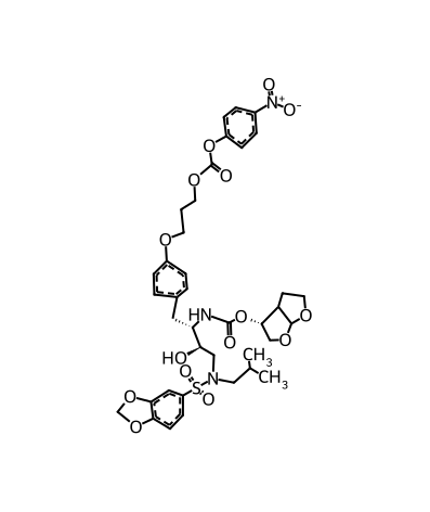 CC(C)CN(C[C@@H](O)[C@H](Cc1ccc(OCCCOC(=O)Oc2ccc([N+](=O)[O-])cc2)cc1)NC(=O)O[C@H]1COC2OCCC21)S(=O)(=O)c1ccc2c(c1)OCO2